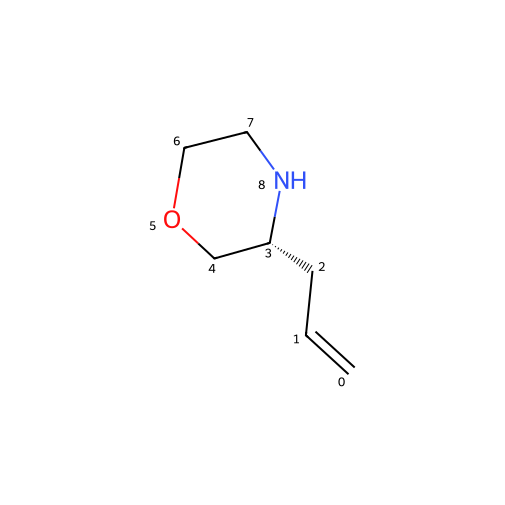 C=CC[C@@H]1COCCN1